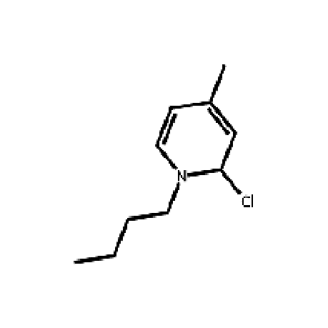 CCCCN1C=CC(C)=CC1Cl